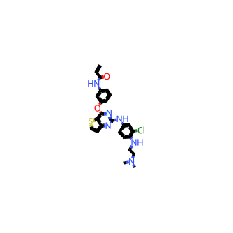 C=CC(=O)Nc1cccc(Oc2nc(Nc3ccc(NCCN(C)C)c(Cl)c3)nc3ccsc23)c1